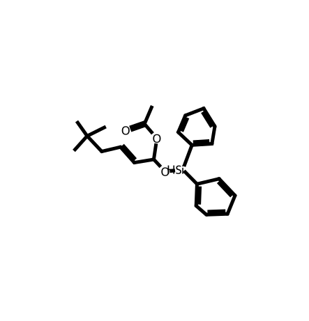 CC(=O)OC(C=CCC(C)(C)C)O[SiH](c1ccccc1)c1ccccc1